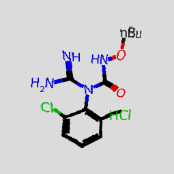 CCCCONC(=O)N(C(=N)N)c1c(C)cccc1Cl.Cl